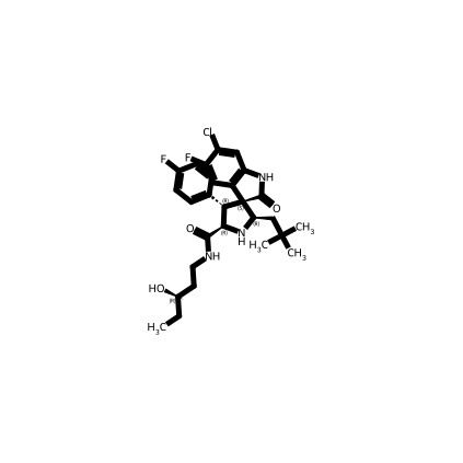 CC[C@@H](O)CCNC(=O)[C@@H]1N[C@H](CC(C)(C)C)[C@]2(C(=O)Nc3cc(Cl)c(F)cc32)[C@H]1c1ccc(F)cc1